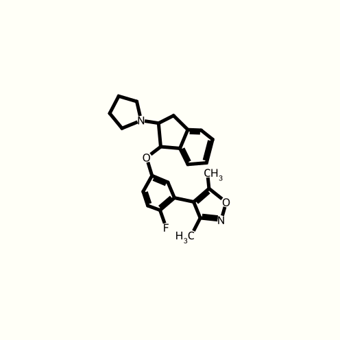 Cc1noc(C)c1-c1cc(OC2c3ccccc3CC2N2CCCC2)ccc1F